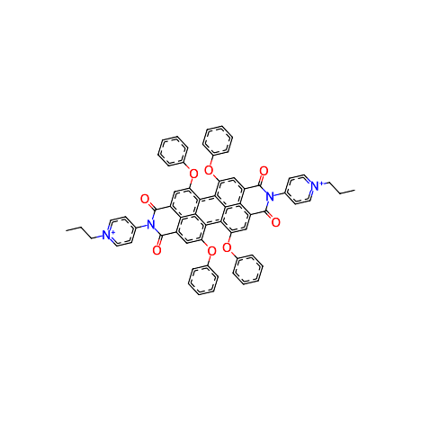 CCC[n+]1ccc(N2C(=O)c3cc(Oc4ccccc4)c4c5c(Oc6ccccc6)cc6c7c(cc(Oc8ccccc8)c(c8c(Oc9ccccc9)cc(c3c48)C2=O)c75)C(=O)N(c2cc[n+](CCC)cc2)C6=O)cc1